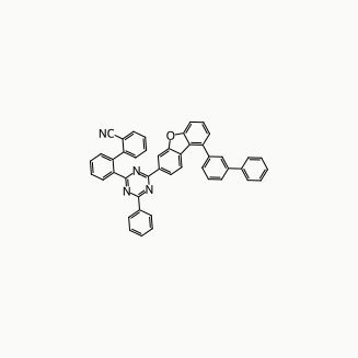 N#Cc1ccccc1-c1ccccc1-c1nc(-c2ccccc2)nc(-c2ccc3c(c2)oc2cccc(-c4cccc(-c5ccccc5)c4)c23)n1